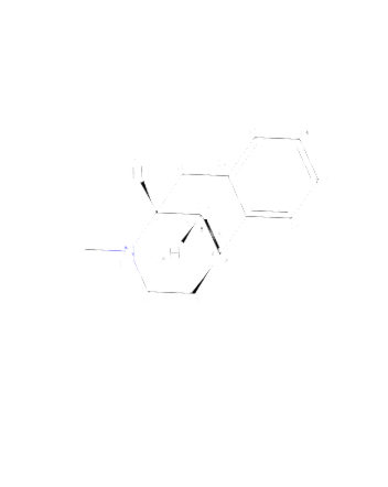 CN1CC[C@]23CCCC[C@H]2[C@H]1Cc1cc[c]cc13